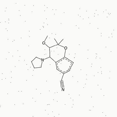 COC1C(N2CCCC2)c2cc(C#N)ccc2OC1(C)C